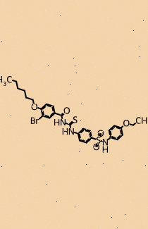 CCCCCCOc1ccc(C(=O)NC(=S)Nc2ccc(S(=O)(=O)Nc3ccc(OCC)cc3)cc2)cc1Br